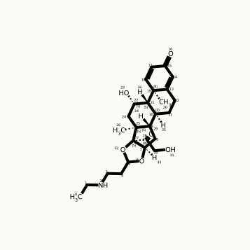 CCNCCC1O[C@@H]2C[C@H]3[C@@H]4CCC5=CC(=O)C=C[C@]5(C)[C@H]4[C@@H](O)C[C@]3(C)[C@]2(C(=O)CO)O1